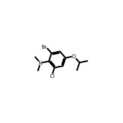 CC(C)Oc1cc(Cl)c(N(C)C)c(Br)c1